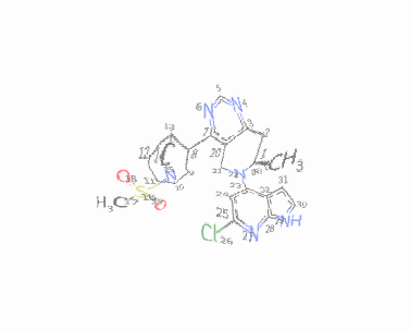 C[C@@H]1Cc2ncnc(C3CC4CCC3CN4S(C)(=O)=O)c2CN1c1cc(Cl)nc2[nH]ccc12